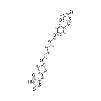 O=C1NC(=O)/C(=C\c2ccc(OCCCCCCCOc3ccc(/C=C4/SC(=O)NC4=O)cc3)cc2)S1